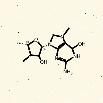 CC1C(O)[C@@H](N2CN(C)C3=C2N=C(N)NC3O)O[C@H]1C